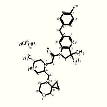 C[C@@H]1CN(CC(=O)N2CC(C)(C)c3ncc(Cc4ccc(F)cc4)cc32)[C@@H](CN2CCOCC23CC3)CN1.Cl.Cl